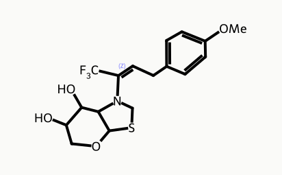 COc1ccc(C/C=C(\N2CSC3OCC(O)C(O)C32)C(F)(F)F)cc1